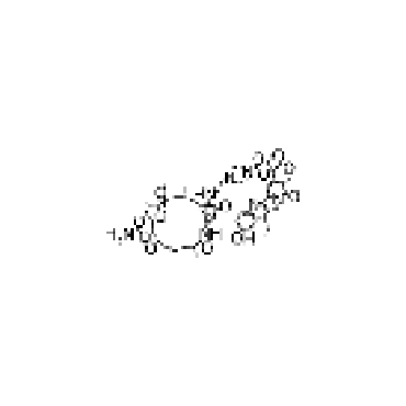 CCc1c2c(nc3ccc(O)cc13)-c1cc3c(c(=O)n1C2)COC(=O)[C@@]3(CC)OC(=O)N1CCN(CCNC2=C3C[C@@H](C)C[C@H](OC)[C@H]4OC(=C[C@@H]4C)[C@H](OC(N)=O)[C@@H](OC)/C=C\C=C(/C)C(=O)NC(=CC2=O)C3=O)CC1